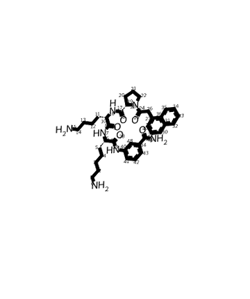 NCCCCC[C@H](NC(=O)[C@H](CCCCN)NC(=O)[C@@H]1CCCN1C(=O)Cc1cccc2ccccc12)C(=O)Nc1cccc(C(N)=O)c1